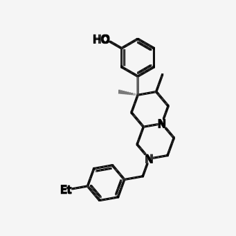 CCc1ccc(CN2CCN3CC(C)[C@](C)(c4cccc(O)c4)CC3C2)cc1